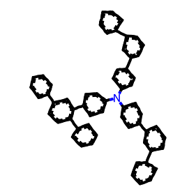 c1ccc(-c2cccc(-c3ccc(N(c4ccc(-c5cccc(-c6ccccc6)c5)cc4)c4ccc(-c5cc(-c6ccccc6)ccc5-c5ccccc5)cc4)cc3)c2)cc1